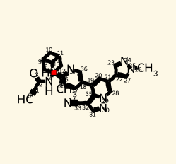 C#CC(=O)NC1(CC)CC2CC(C1)C2Nc1ccc(-c2cc(-c3cnn(C)c3)cn3ncc(C#N)c23)cn1